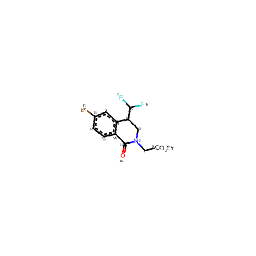 CCOC(=O)CN1CC(C(F)F)c2cc(Br)ccc2C1=O